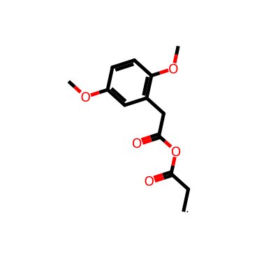 [CH2]CC(=O)OC(=O)Cc1cc(OC)ccc1OC